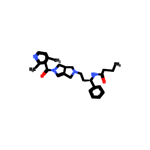 CCCC(=O)N[C@@H](CCN1CC2=CN(C(=O)c3c(C)ccnc3C)CC2C1)c1ccccc1